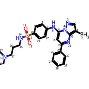 Bc1cnn2c(Nc3ccc(S(=O)(=O)NCCCN(C)C)cc3)cc(-c3ccccc3)nc12